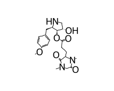 COc1ccc(C[C@H]2NC[C@H](O)[C@H]2OC(=O)CCC2C(=O)N(C)CC(=O)N2C)cc1